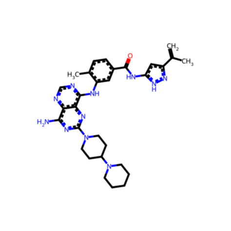 C=C(C)c1cc(NC(=O)c2ccc(C)c(Nc3ncnc4c(N)nc(N5CCC(N6CCCCC6)CC5)nc34)c2)[nH]n1